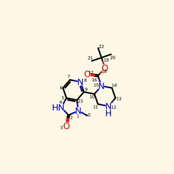 Cn1c(=O)[nH]c2ccnc(C3CNCCN3C(=O)OC(C)(C)C)c21